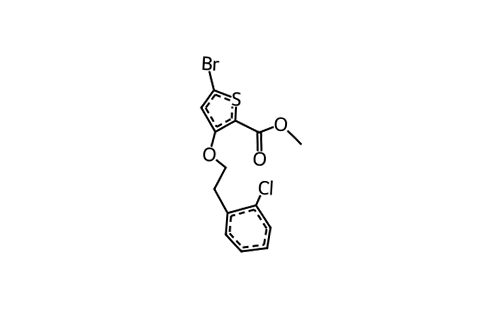 COC(=O)c1sc(Br)cc1OCCc1ccccc1Cl